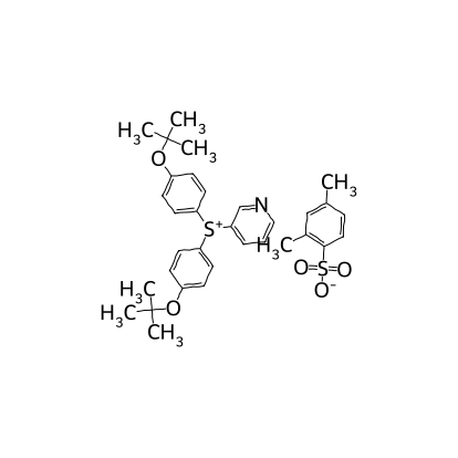 CC(C)(C)Oc1ccc([S+](c2ccc(OC(C)(C)C)cc2)c2cccnc2)cc1.Cc1ccc(S(=O)(=O)[O-])c(C)c1